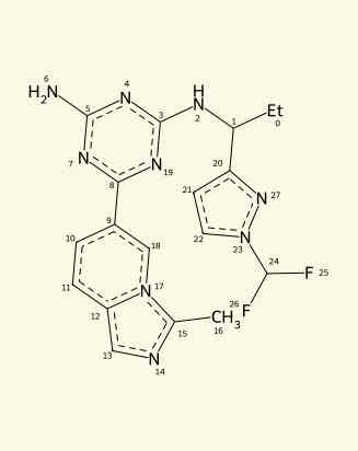 CCC(Nc1nc(N)nc(-c2ccc3cnc(C)n3c2)n1)c1ccn(C(F)F)n1